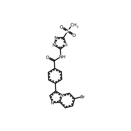 CS(=O)(=O)c1nnc(NC(=O)c2ccc(-c3cnc4ccc(Br)cn34)cc2)s1